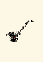 O=CCCCOCCOCCOCCOCCNC(=O)CCCOC(CC(=O)NC(=O)C(O)(P(=O)(O)O)P(=O)(O)O)CC(=O)NC(=O)C(O)(P(=O)(O)O)P(=O)(O)O